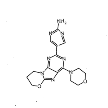 Nc1ncc(-c2nc(N3CCOCC3)c3nc4n(c3n2)CCCO4)cn1